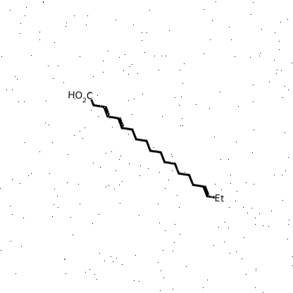 CCC=CCCCCCCCCCCC=CC=CCC(=O)O